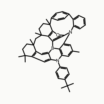 Cc1cc2c3c(c1)N1c4ccccc4-c4ccc(cc4)C4(C)CCC5(C)CC6(C)CCC(C)(C)c7cc(c(cc76)B3c3c1oc4c35)N2c1ccc(C(C)(C)C)cc1